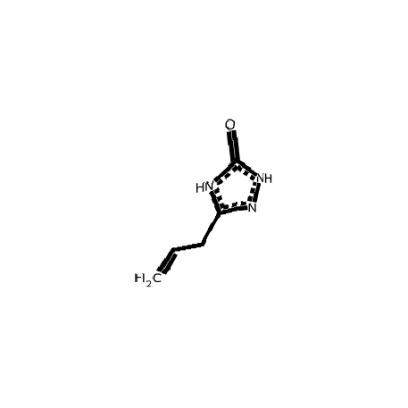 C=CCc1n[nH]c(=O)[nH]1